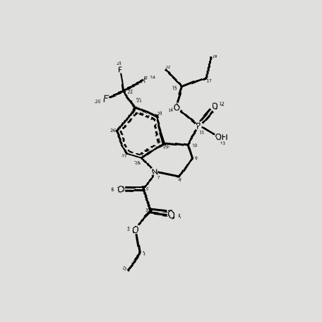 CCOC(=O)C(=O)N1CCC(P(=O)(O)OC(C)CC)c2cc(C(F)(F)F)ccc21